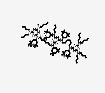 CCCCN(C)c1nc(N(CCCC)CCCC)nc(N(CCCCCCN(c2nc(N(CCCCCCN(c3nc(N(CCCC)CCCC)nc(N(CCCC)CCCC)n3)C3CC(C)(C)NC(C)(C)C3)C3CC(C)(C)CC(C)(C)C3)nc(N(CCCC)C3CC(C)(C)NC(C)(C)C3)n2)C2CC(C)(C)CC(C)(C)C2)C2CC(C)(C)NC(C)(C)C2)n1